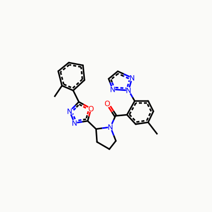 Cc1ccc(-n2nccn2)c(C(=O)N2CCCC2c2nnc(-c3ccccc3C)o2)c1